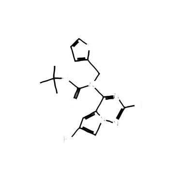 CC(C)(C)OC(=O)N(Cc1cccs1)c1nc(Cl)nn2cc(Br)cc12